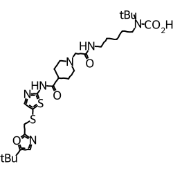 CC(C)(C)c1cnc(CSc2cnc(NC(=O)C3CCN(CC(=O)NCCCCCN(C(=O)O)C(C)(C)C)CC3)s2)o1